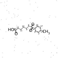 Cc1ccc(S(=O)(=O)CCCCCC(=O)O)cc1